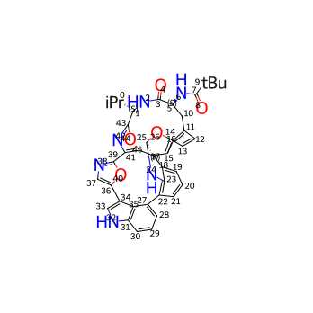 CC(C)[C@@H]1NC(=O)[C@@H](NC(=O)C(C)(C)C)Cc2ccc3c(c2)[C@]24c5cccc(c5NC2O3)-c2cccc3[nH]cc(c23)-c2cnc(o2)-c2nc1oc24